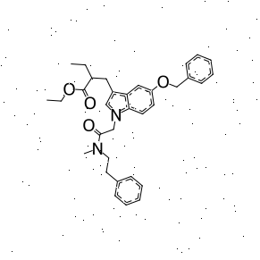 CCOC(=O)C(CC)Cc1cn(CC(=O)N(C)CCc2ccccc2)c2ccc(OCc3ccccc3)cc12